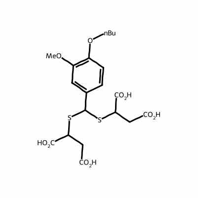 CCCCOc1ccc(C(SC(CC(=O)O)C(=O)O)SC(CC(=O)O)C(=O)O)cc1OC